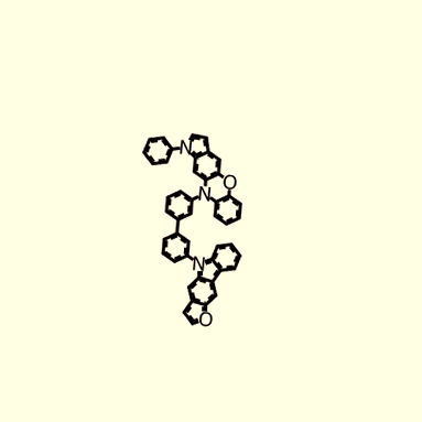 c1ccc(-n2ccc3cc4c(cc32)N(c2cccc(-c3cccc(-n5c6ccccc6c6cc7occc7cc65)c3)c2)c2ccccc2O4)cc1